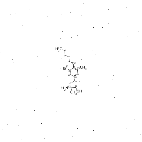 CCCCCOc1c(C)cc(CC[C@@](C)(N)CO)cc1Br